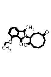 C=C1c2cccc(OCC)c2C(=O)N1C1CCC(=O)CCCCC1=O